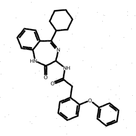 O=C(Cc1ccccc1Oc1ccccc1)NC1N=C(C2CCCCC2)c2ccccc2NC1=O